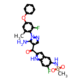 Cc1cc(Oc2ccccc2)cc(F)c1-n1ncc(C(=O)c2cc3cc(NS(C)(=O)=O)c(F)cc3[nH]2)c1N